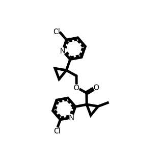 CC1CC1(C(=O)OCC1(c2cccc(Cl)n2)CC1)c1cccc(Cl)n1